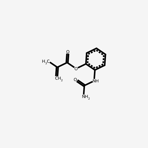 C=C(C)C(=O)Oc1ccccc1NC(N)=O